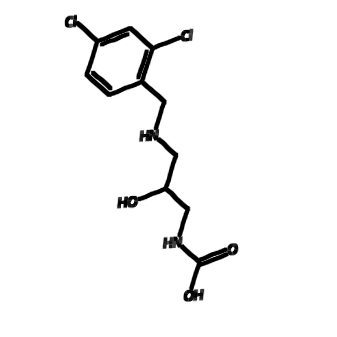 O=C(O)NCC(O)CNCc1ccc(Cl)cc1Cl